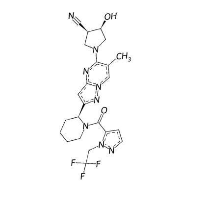 Cc1cn2nc([C@@H]3CCCCN3C(=O)c3ccnn3CC(F)(F)F)cc2nc1N1C[C@@H](C#N)[C@@H](O)C1